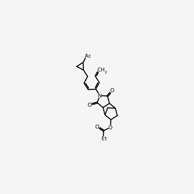 C=C/C=C(\C=C/CC1CC1C(C)=O)N1C(=O)C2C3CC(OC(=O)CC)C(C3)C2C1=O